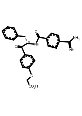 N=C(N)c1ccc(C(=O)N[C@@H](Cc2ccccc2)C(=O)c2ccc(OCC(=O)O)cc2)cc1